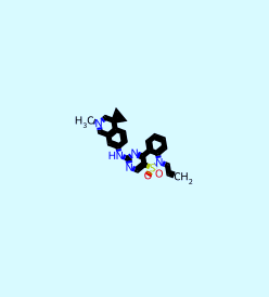 C=CCN1c2ccccc2-c2nc(Nc3ccc4c(c3)CN(C)CC43CC3)ncc2S1(=O)=O